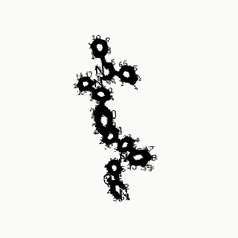 c1ccc(-c2cc(-c3ccccc3)nc(-n3c4ccccc4c4cc(-c5ccc6ccc(-c7ccc8c9ccccc9n(-c9ccc%10oc%11ccncc%11c%10c9)c8c7)cc6c5)ccc43)c2)cc1